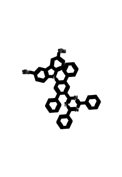 CC(C)(C)c1ccc2c(c1)c1cc(C(C)(C)C)ccc1n2-c1cc(-c2ccccc2)c(-c2nc(-c3ccccc3)nc(-c3ccccc3)n2)cc1-c1ccccc1